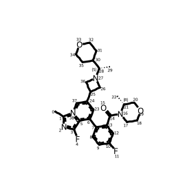 Cc1nc(F)c2c(-c3ccc(F)cc3C(=O)N3CCOC[C@H]3C)cc(C3CN([C@@H](C)C4CCOCC4)C3)cn12